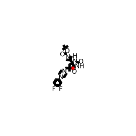 CC(C=O)(CN1CCN(c2ccc(F)c(F)c2)CC1)CC1(C2CN(C(=O)OC(C)(C)C)C2)NC(=O)NC1=O